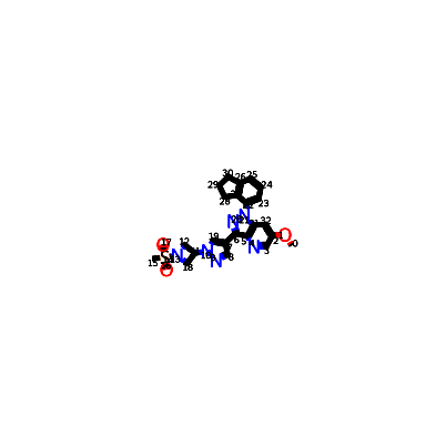 COc1cnc2c(-c3cnn(C4CN(S(C)(=O)=O)C4)c3)nn(-c3cccc4c3CCC4)c2c1